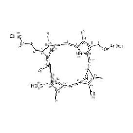 CCCCCCCCCCOCc1c(C)c2cc3nc(c(C)c4[nH]c(cc5nc(cc1[nH]2)C(C)=C5CC)c(C)c4C(=O)O)[C@@H](CCOC=O)[C@@H]3C